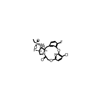 CCS(=O)(=O)N[C@@H]1[C@H](F)CN2C(=O)COc3ccc(Cl)c(n3)Oc3cc(ccc3F)C[C@H]12